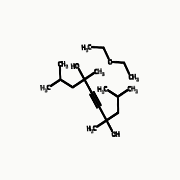 CC(C)CC(C)(O)C#CC(C)(O)CC(C)C.CCOCC